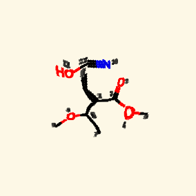 C=C(C(=O)OC)C(C)OC.N#CO